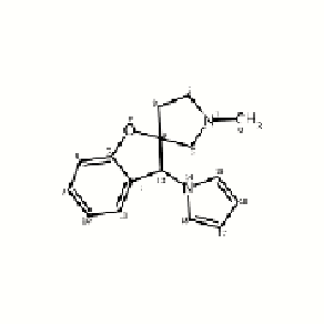 CN1CCC2(C1)Oc1ccccc1C2n1cccc1